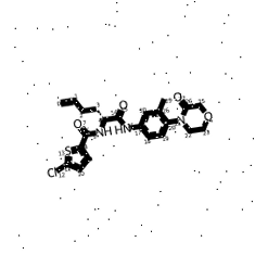 C=CCC[C@@H](NC(=O)c1ccc(Cl)s1)C(=O)Nc1ccc(N2CCOCC2=O)c(C)c1